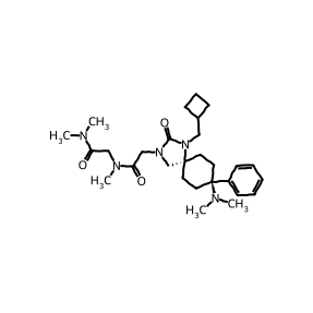 CN(C)C(=O)CN(C)C(=O)CN1C[C@]2(CC[C@](c3ccccc3)(N(C)C)CC2)N(CC2CCC2)C1=O